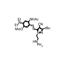 CCN(CC)c1cc(NC(C)=O)c(/N=N/c2c(C#N)c(C(C)(C)C)nn2CCNP)cc1OC